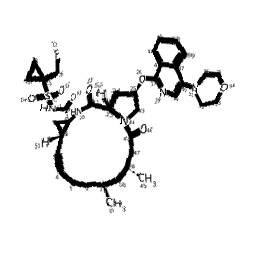 C[C@H]1CC/C=C\[C@@H]2C[C@@]2(C(=O)NS(=O)(=O)C2(CF)CC2)NC(=O)[C@@H]2C[C@@H](Oc3ncc(N4CCOCC4)c4ccccc34)CN2C(=O)C[C@H](C)C1